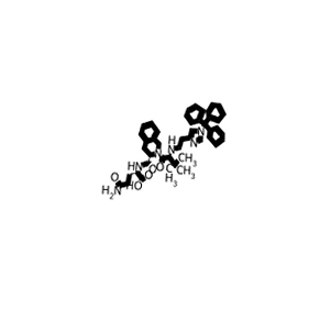 CC(C)(C)[C@H](NCCc1cn(C(c2ccccc2)(c2ccccc2)c2ccccc2)cn1)C(=O)N1Cc2ccccc2C[C@H]1C(=O)N[C@@H](CCC(N)=O)C(=O)O